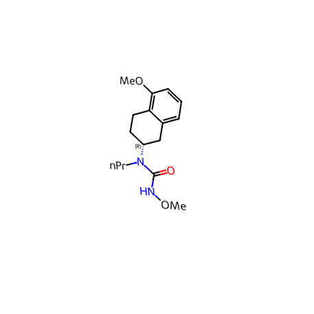 CCCN(C(=O)NOC)[C@@H]1CCc2c(cccc2OC)C1